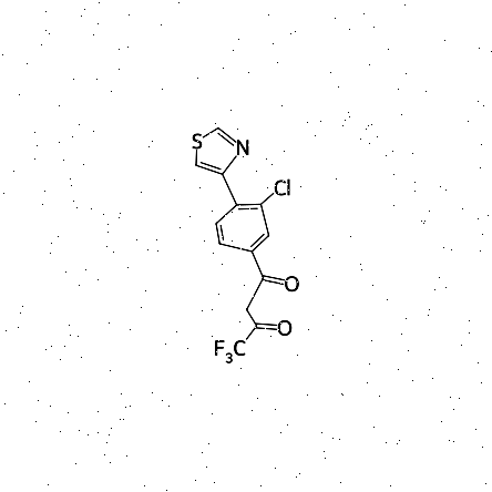 O=C(CC(=O)C(F)(F)F)c1ccc(-c2cscn2)c(Cl)c1